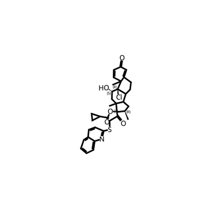 C[C@@H]1CC2C3CCC4=CC(=O)C=CC4(C)[C@@]3(Cl)[C@@H](O)CC2(C)[C@@]1(OC(=O)C1CC1)C(=O)CSc1ccc2ccccc2n1